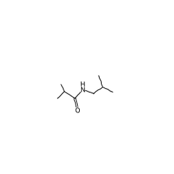 CC(C)CNC(=O)C(C)C